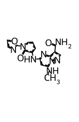 CNc1cc(Nc2cccn(-c3ncco3)c2=O)nc2c(C(N)=O)cnn12